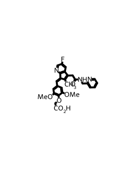 COc1cc(C=C2C(C)=C(CC(=O)NCc3ccccn3)c3cc(F)cnc32)cc(OC)c1OCC(=O)O